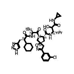 CCC[C@H](NC(=O)[C@@H]1C[C@]2(CC(c3cccc(Cl)c3)=NO2)CN1C(=O)[C@@H](NC(=O)[C@@H](Cc1c[nH]nn1)C1CCCCC1)C(C)(C)C)C(O)C(=O)NC1CC1